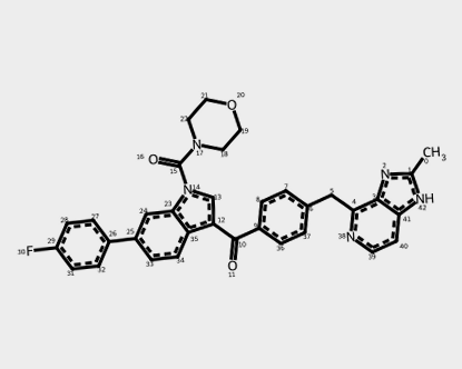 Cc1nc2c(Cc3ccc(C(=O)c4cn(C(=O)N5CCOCC5)c5cc(-c6ccc(F)cc6)ccc45)cc3)nccc2[nH]1